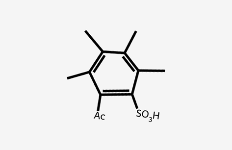 CC(=O)c1c(C)c(C)c(C)c(C)c1S(=O)(=O)O